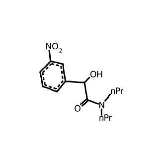 CCCN(CCC)C(=O)C(O)c1cccc([N+](=O)[O-])c1